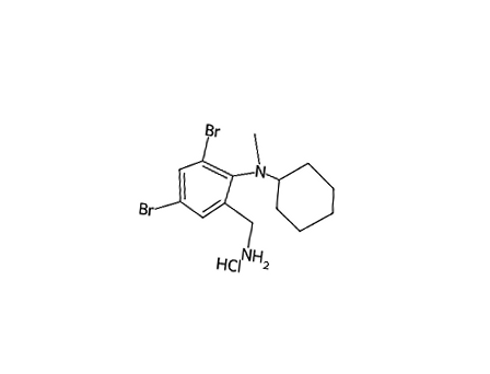 CN(c1c(Br)cc(Br)cc1CN)C1CCCCC1.Cl